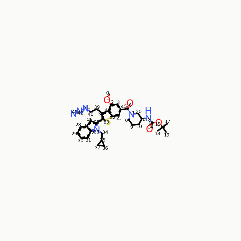 COc1cc(C(=O)N2CCCC(NC(=O)OC(C)(C)C)C2)cc2sc(-c3cc4ccccc4n3CC3CC3)c(CCN=[N+]=[N-])c12